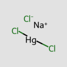 [Cl-].[Cl][Hg][Cl].[Na+]